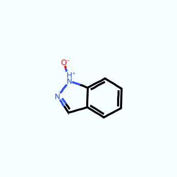 [O-][NH+]1N=[C]c2ccccc21